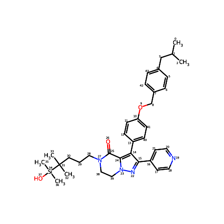 CC(C)Cc1ccc(COc2ccc(-c3c(-c4ccncc4)nn4c3C(=O)N(CCCC(C)(C)[Si](C)(C)O)CC4)cc2)cc1